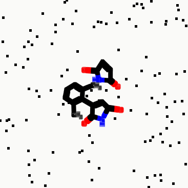 Cc1cccc(C)c1C1=CC(=O)NC1=O.O=C1C=CC(=O)N1